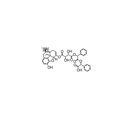 CC[C@]12c3c4ccc(O)c3O[C@H]1C(OC(=O)[C@H](O)[C@@H](O)C(=O)O[C@H](C(=O)O[C@H](C(=O)O)c1ccccc1)c1ccccc1)=CC[C@@]2(O)[C@H](NC)C4